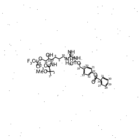 COC(C)(C)C(=O)NC(CCCNC(=N)NC(O)OCc1ccc(OC(=O)c2ccccc2)cc1)C(O)COC(C(F)(F)F)C(F)(F)F